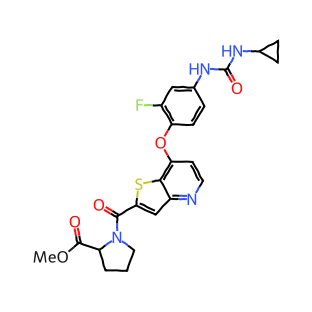 COC(=O)C1CCCN1C(=O)c1cc2nccc(Oc3ccc(NC(=O)NC4CC4)cc3F)c2s1